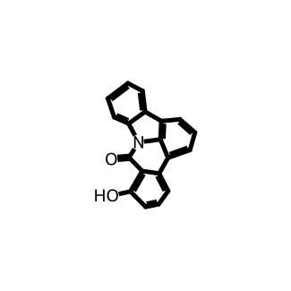 O=c1c2c(O)cccc2c2cccc3c4ccccc4n1c23